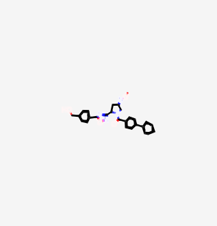 CON=C1CC(c2noc(-c3ccc(CO)cc3)n2)N(C(=O)c2ccc(-c3ccccc3)cc2)C1